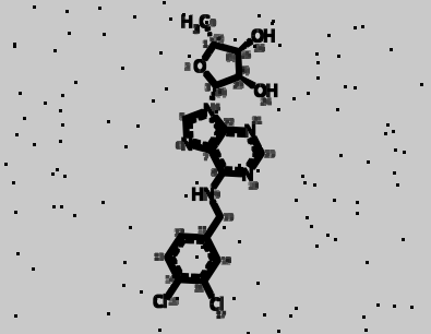 C[C@H]1O[C@@H](n2cnc3c(NCc4ccc(Cl)c(Cl)c4)ncnc32)[C@H](O)[C@@H]1O